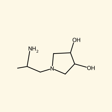 CC(N)CN1CC(O)C(O)C1